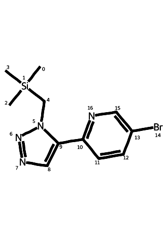 C[Si](C)(C)Cn1nncc1-c1ccc(Br)cn1